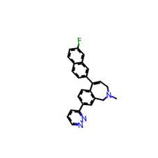 CN1CC=C(c2ccc3ccc(F)cc3c2)c2ccc(-c3cccnn3)cc2C1